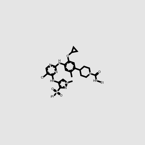 CCNC(=O)N1CCC(c2cc(OC3CC3)c(Nc3ncc(Cl)c(Nc4cn(C)nc4S(=O)(=O)C(C)C)n3)cc2C)CC1